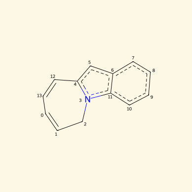 C1=CCn2c(cc3ccccc32)C=C1